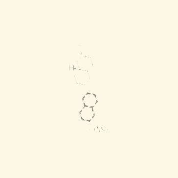 CCC1CCC2C[C@H](c3ccc4cc(OC)ccc4c3)CC[C@@H]2C1